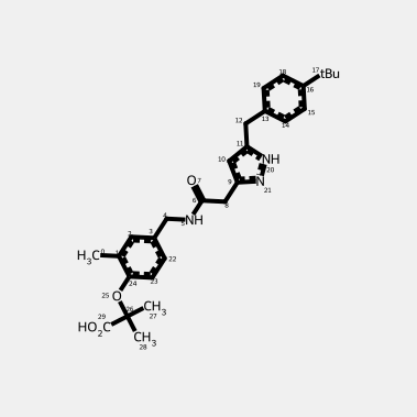 Cc1cc(CNC(=O)Cc2cc(Cc3ccc(C(C)(C)C)cc3)[nH]n2)ccc1OC(C)(C)C(=O)O